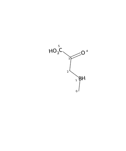 CBCC(=O)C(=O)O